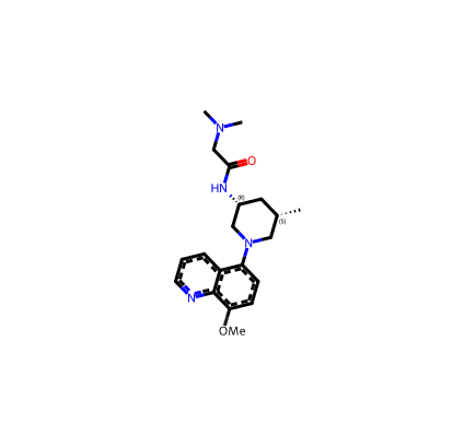 COc1ccc(N2C[C@@H](C)C[C@@H](NC(=O)CN(C)C)C2)c2cccnc12